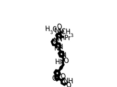 CC(C)c1nc(N2CCCc3nc(-c4ccc(C(=O)NCC#Cc5ccc6occ(C7CCC(=O)NC7=O)c6c5)nc4)ncc32)cc2c1n(C)c(=O)n2C